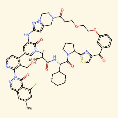 CN[C@@H](C)C(=O)N[C@H](C(=O)N1CCC[C@H]1c1nc(C(=O)c2cccc(OCCOCCC(=O)N3CCn4nc(Nc5cc(-c6ccnc(-n7ncc8cc(C(C)(C)C)cc(F)c8c7=O)c6CO)cn(C)c5=O)cc4C3)c2)cs1)C1CCCCC1